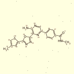 CNC(=O)c1ccc(-c2cnc(N)c(-c3nnc(-c4cc(C)cs4)o3)n2)cc1